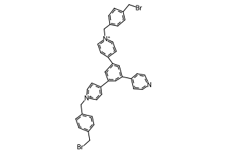 BrCc1ccc(C[n+]2ccc(-c3cc(-c4ccncc4)cc(-c4cc[n+](Cc5ccc(CBr)cc5)cc4)c3)cc2)cc1